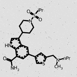 CCCN(C)Cc1cc(-c2cc(C(N)=O)c3[nH]cc(C4CCN(S(=O)(=O)C(C)C)CC4)c3c2)cs1